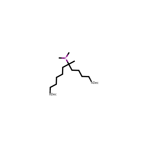 CCCCCCCCCCCCCCCC(C)(CCCCCCCCCCCCCC)P(C)C